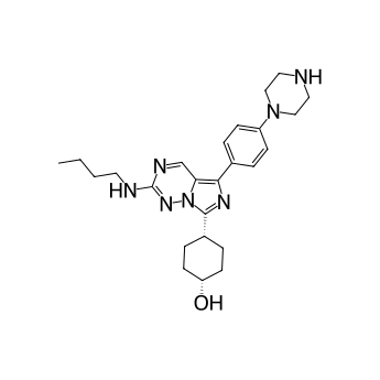 CCCCNc1ncc2c(-c3ccc(N4CCNCC4)cc3)nc([C@H]3CC[C@@H](O)CC3)n2n1